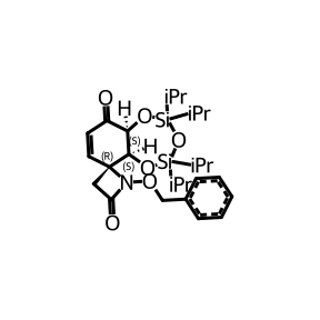 CC(C)[Si]1(C(C)C)O[C@@H]2C(=O)C=C[C@]3(CC(=O)N3OCc3ccccc3)[C@@H]2O[Si](C(C)C)(C(C)C)O1